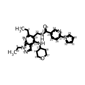 CCc1nc2c(cnn2CC)c(NC2CCOCC2)c1CNC(=O)c1ccc(-n2cccc2)nc1